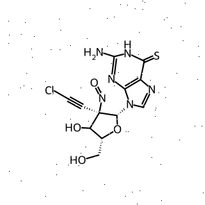 Nc1nc2c(ncn2[C@@H]2O[C@H](CO)C(O)[C@@]2(C#CCl)N=O)c(=S)[nH]1